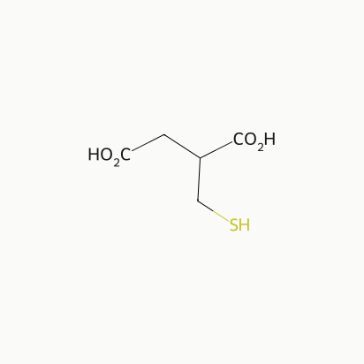 O=C(O)CC(CS)C(=O)O